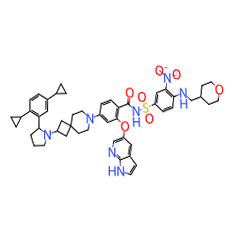 O=C(NS(=O)(=O)c1ccc(NCC2CCOCC2)c([N+](=O)[O-])c1)c1ccc(N2CCC3(CC2)CC(N2CCCC2c2cc(C4CC4)ccc2C2CC2)C3)cc1Oc1cnc2[nH]ccc2c1